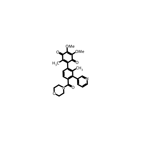 COC1=C(OC)C(=O)C(c2ccc(C(=O)N3CCOCC3)c(-c3cccnc3)c2C)=C(C)C1=O